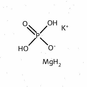 O=P([O-])(O)O.[K+].[MgH2]